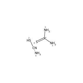 N.N#CS.NC(N)=S